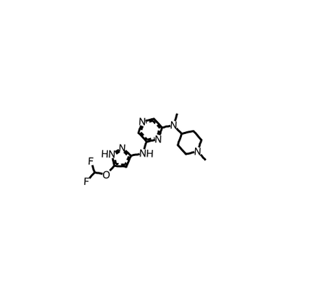 CN1CCC(N(C)c2cncc(Nc3cc(OC(F)F)[nH]n3)n2)CC1